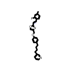 Cc1ccc(/C=C/c2nc(COc3ccc(CCCCc4cccnc4)cc3)co2)c(F)c1